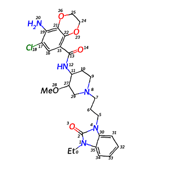 CCn1c(=O)n(CCCN2CCC(NC(=O)c3cc(Cl)c(N)c4c3OCCO4)C(OC)C2)c2ccccc21